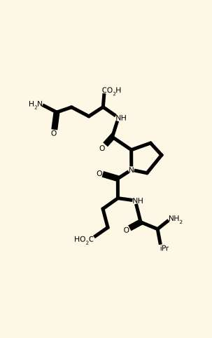 CC(C)C(N)C(=O)NC(CCC(=O)O)C(=O)N1CCCC1C(=O)NC(CCC(N)=O)C(=O)O